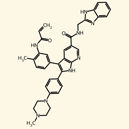 C=CC(=O)Nc1cc(-c2c(-c3ccc(N4CCN(C)CC4)cc3)[nH]c3ncc(C(=O)NCc4nc5ccccc5[nH]4)cc23)ccc1C